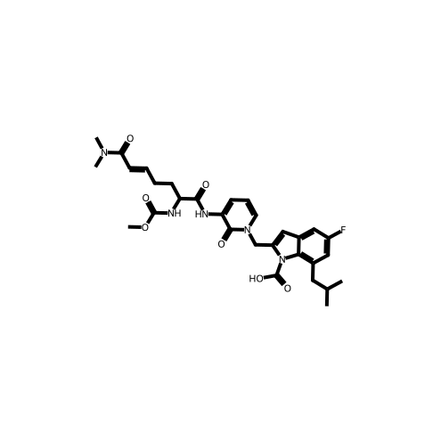 COC(=O)NC(CCC=CC(=O)N(C)C)C(=O)Nc1cccn(Cc2cc3cc(F)cc(CC(C)C)c3n2C(=O)O)c1=O